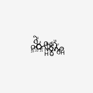 CCOc1cc(C(=O)NC2C(=O)N3C(C(=O)O)=CCS[C@H]23)ccc1OC